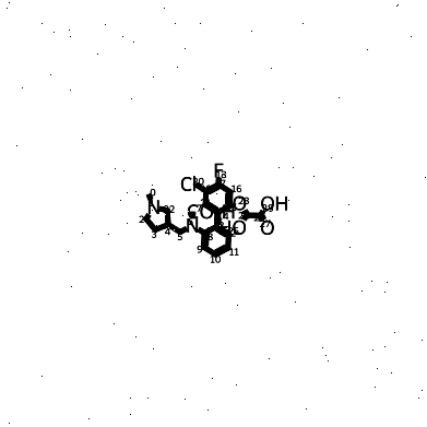 CN1CCC(CN(C(=O)O)c2ccccc2-c2ccc(F)c(Cl)c2)C1.O=C(O)C(=O)O